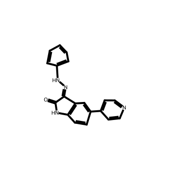 O=C1Nc2ccc(-c3ccncc3)cc2C1=NNc1ccccc1